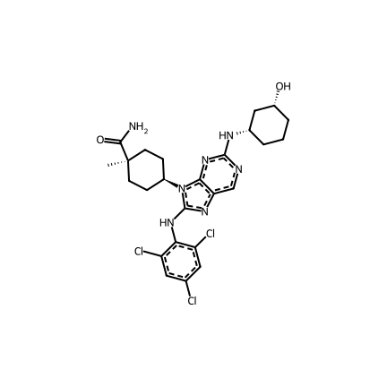 C[C@]1(C(N)=O)CC[C@@H](n2c(Nc3c(Cl)cc(Cl)cc3Cl)nc3cnc(N[C@H]4CCC[C@@H](O)C4)nc32)CC1